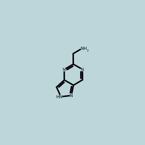 NCc1ncc2n[nH]cc2n1